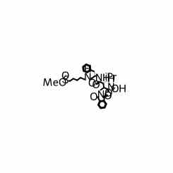 COS(=O)CCCCCNC(=O)[C@H](Cc1ccccc1)NC(=O)[C@H](CC(C)C)C(CN1C(=O)c2ccccc2C1=O)C(=O)NO